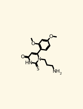 COc1ccc(-c2cc(=O)[nH]c(=S)n2CCCN)c(OC)c1